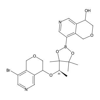 C[C@@H](OC1COCc2c(Br)cncc21)C1(C)OB(c2cncc3c2COCC3O)OC1(C)C